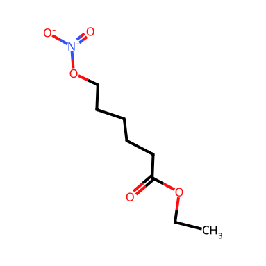 CCOC(=O)CCCCCO[N+](=O)[O-]